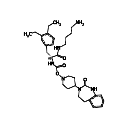 CCc1ccc(C[C@@H](NC(=O)ON2CCC(N3CCc4ccccc4NC3=O)CC2)C(=O)NCCCCN)cc1CC